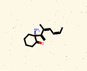 C=C(/C(C)=C\C=C/C)[C@@]1(N)CCCCC1=O